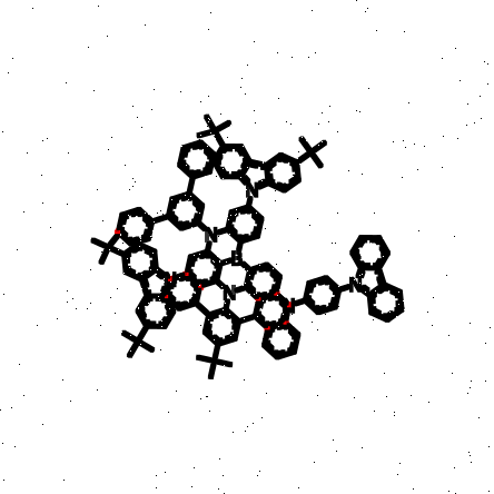 CC(C)(C)c1cc(-c2ccccc2)c(N2c3cc(N(c4ccccc4)c4ccc(-n5c6ccccc6c6ccccc65)cc4)ccc3B3c4ccc(-n5c6ccc(C(C)(C)C)cc6c6cc(C(C)(C)C)ccc65)cc4N(c4cc(-c5ccccc5)cc(-c5ccccc5)c4)c4cc(-n5c6ccc(C(C)(C)C)cc6c6cc(C(C)(C)C)ccc65)cc2c43)c(-c2ccccc2)c1